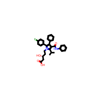 CC(C)c1c(C(=O)Nc2ccccc2)c(-c2ccccc2)c(-c2ccc(F)cc2)n1CC[C@@H](O)CC(=O)O